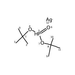 CC(C)(C)O[PH](=O)OC(C)(C)C.[Ag]